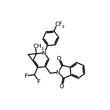 CC12CC1=C(C(F)F)C(CN1C(=O)c3ccccc3C1=O)=CN2c1ccc(C(F)(F)F)cc1